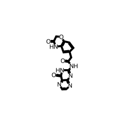 O=C(Cc1ccc2c(c1)NC(=O)CO2)Nc1nc2nccnc2c(=O)[nH]1